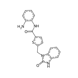 Nc1ccccc1NC(=O)c1ccc(Cn2c(=O)[nH]c3ccccc32)s1